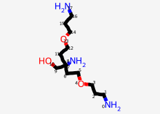 NCCCOCCC(N)(CO)CCOCCCN